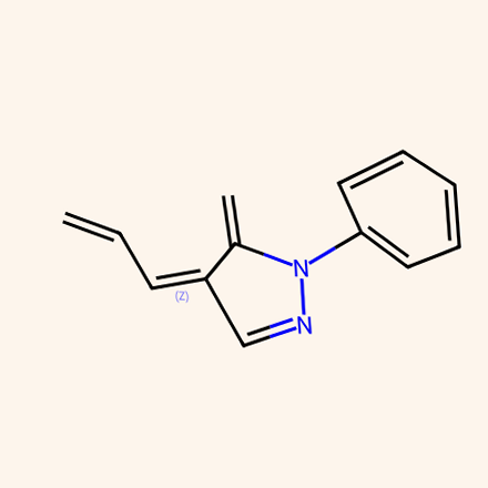 C=C/C=c1/cnn(-c2ccccc2)c1=C